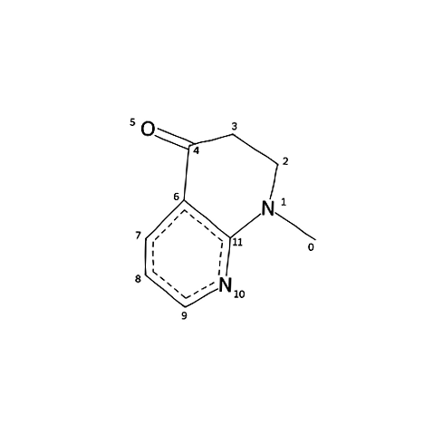 CN1CCC(=O)c2cccnc21